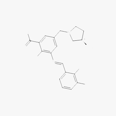 Cc1cccc(/C=N/c2cc(CN3CC[C@@H](C)C3)cc(C(=O)O)c2O)c1C